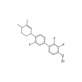 CCOc1ccc(-c2ccc(C3C=C(C)C(C)CC3)c(F)c2)c(F)c1F